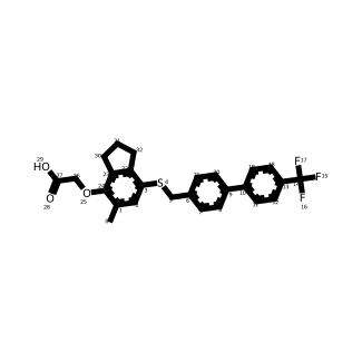 Cc1cc(SCc2ccc(-c3ccc(C(F)(F)F)cc3)cc2)c2c(c1OCC(=O)O)CCC2